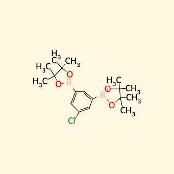 CC1(C)OB(c2cc(Cl)cc(B3OC(C)(C)C(C)(C)O3)c2)OC1(C)C